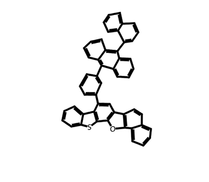 c1cc(-c2c3ccccc3c(-c3cccc4ccccc34)c3ccccc23)cc(-c2cc3c4ccc5ccccc5c4oc3c3sc4ccccc4c23)c1